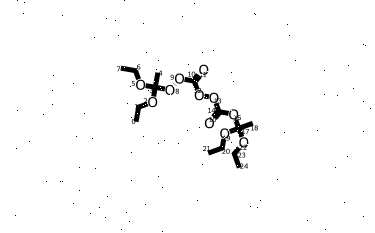 CCOC(C)(OCC)OOC(=O)OOC(=O)OC(C)(OCC)OCC